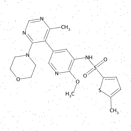 COc1ncc(-c2c(C)ncnc2N2CCOCC2)cc1NS(=O)(=O)c1ccc(C)s1